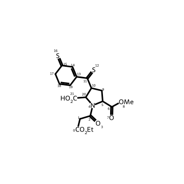 CCOC(=O)CC(=O)N1C(C(=O)OC)CC(C(=S)C2=CC(=S)CC=C2)C1C(=O)O